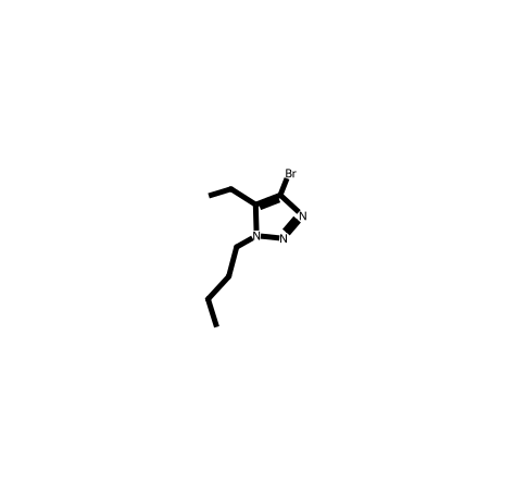 CCCCn1nnc(Br)c1CC